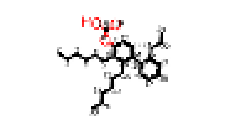 CCCCCCc1c(OC(=O)O)ccc(-c2ccccc2CCC)c1CCCCCC